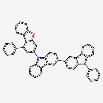 c1ccc(-c2cc(-n3c4ccccc4c4cc(-c5ccc6c(c5)c5ccccc5n6-c5ccccc5)ccc43)cc3oc4ccccc4c23)cc1